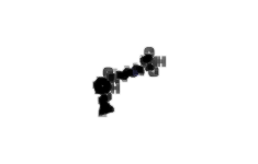 O=C1CN(C/C=C/CCCN[S+]([O-])c2cccc(OCC3CC3)c2)C(=O)N1